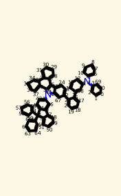 c1ccc(N(c2ccccc2)c2cccc(-c3ccccc3-c3ccc4c5c6ccccc6c6ccccc6c5n(-c5ccc6c(c5)-c5ccccc5C6(c5ccccc5)c5ccccc5)c4c3)c2)cc1